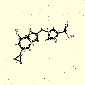 O=C(O)c1cn(Cc2cn3cc(C4CC4)cc(F)c3n2)nn1